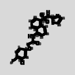 O=C(COc1ccc(F)c(Cl)c1)Nc1cccc2c(S(=O)(=O)Nc3nccs3)cccc12